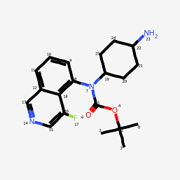 CC(C)(C)OC(=O)N(c1cccc2cncc(F)c12)C1CCC(N)CC1